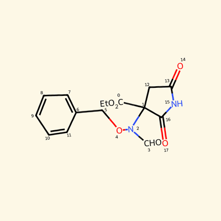 CCOC(=O)C1(N(C=O)OCc2ccccc2)CC(=O)NC1=O